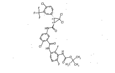 CC(C)(C)OC(=O)Nc1c(F)ccc(NC(=O)c2cc(NC(=O)[C@H]3[C@H](c4ccc(Cl)c(C(F)(F)F)c4)C3(Cl)Cl)ccc2Cl)c1F